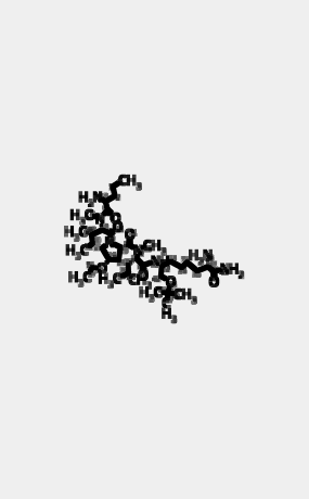 CCCC(N)C(=O)N(C)[C@H](C(=O)N1C[C@H](OCC)C[C@H]1C(=O)N(C)[C@@H](CC(C)C)C(=O)NC(CCCC[C@H](N)C(N)=O)COC(C)(C)C)[C@@H](C)CC